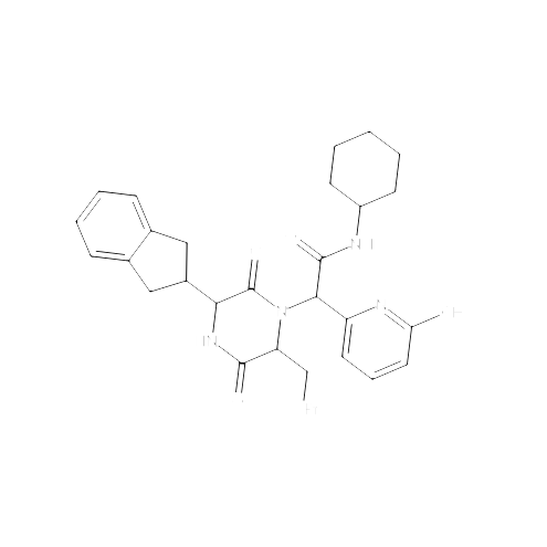 Cc1cccc(C(C(=O)NC2CCCCC2)N2C(=O)C(C3Cc4ccccc4C3)NC(=O)C2CC(C)C)n1